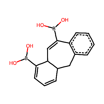 OB(O)C1=CC2C(B(O)O)=CC=CC2Cc2ccccc21